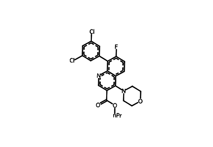 CCCOC(=O)c1cnc2c(-c3cc(Cl)cc(Cl)c3)c(F)ccc2c1N1CCOCC1